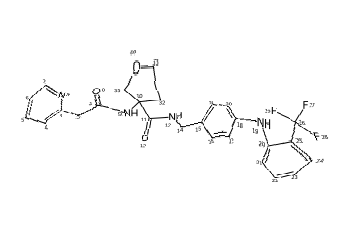 O=C(Cc1ccccn1)NC1(C(=O)NCc2ccc(Nc3ccccc3C(F)(F)F)cc2)CCOC1